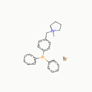 C[N+]1(Cc2ccc(P(c3ccccc3)c3ccccc3)cc2)CCCC1.[Br-]